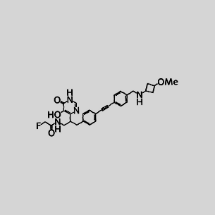 COC1CC(NCc2ccc(C#Cc3ccc(CC(CNC(=O)CF)c4nc[nH]c(=O)c4O)cc3)cc2)C1